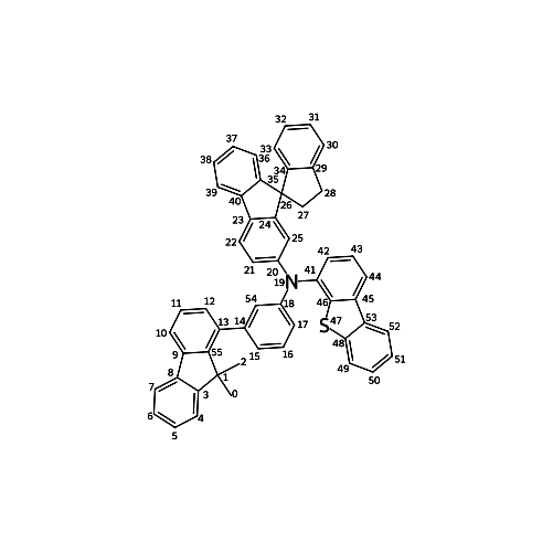 CC1(C)c2ccccc2-c2cccc(-c3cccc(N(c4ccc5c(c4)C4(CCc6ccccc64)c4ccccc4-5)c4cccc5c4sc4ccccc45)c3)c21